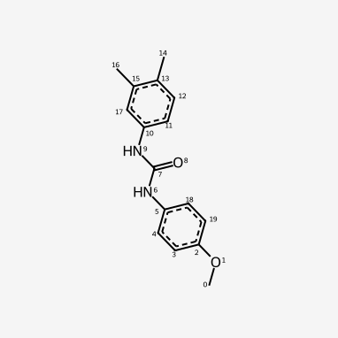 COc1ccc(NC(=O)Nc2ccc(C)c(C)c2)cc1